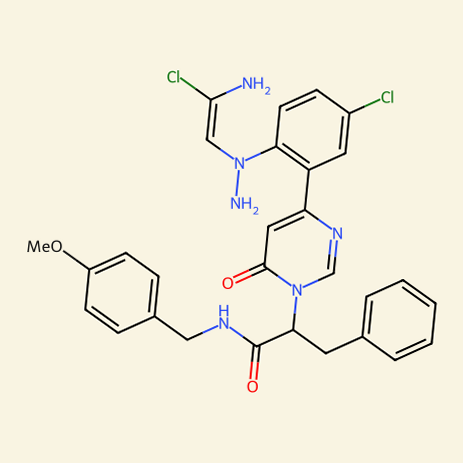 COc1ccc(CNC(=O)C(Cc2ccccc2)n2cnc(-c3cc(Cl)ccc3N(N)/C=C(\N)Cl)cc2=O)cc1